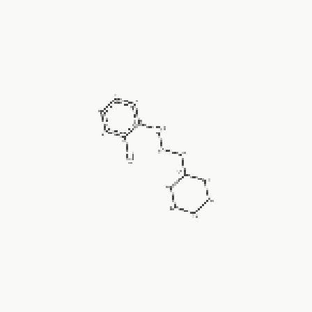 Clc1ccccc1OCCC1CCCCC1